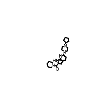 O=C(c1cc2ccc(N3CCN(C4CCCC4)CC3)nc2[nH]1)N1CCCCC1